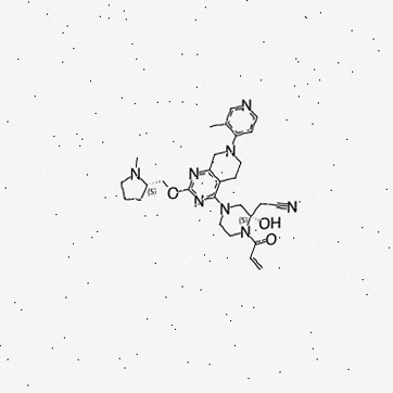 C=CC(=O)N1CCN(c2nc(OC[C@@H]3CCCN3C)nc3c2CCN(c2ccncc2C)C3)C[C@@]1(O)CC#N